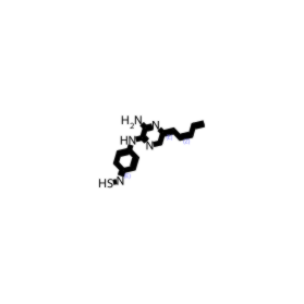 C=C/C=C\C=C1/CN=C(NC2=CC/C(=N\S)C=C2)C(N)=N1